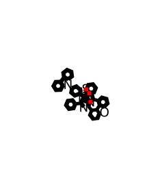 C1=CC(c2nc(-c3ccccc3)nc(-c3ccccc3)n2)C2C(=C1)Oc1cccc(-c3ccc4c(c3)sc3cc(-n5c6ccccc6c6ccccc65)ccc34)c12